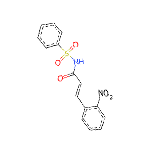 O=C(C=Cc1ccccc1[N+](=O)[O-])NS(=O)(=O)c1ccccc1